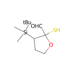 CC(C)(C)[Si](C)(C)C1CCOC1(S)C=O